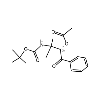 CC(=O)O[C@H](C(=O)c1ccccc1)C(C)(C)NC(=O)OC(C)(C)C